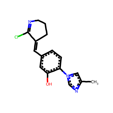 Cc1cn(-c2ccc(/C=C3\CCCN=C3Cl)cc2O)cn1